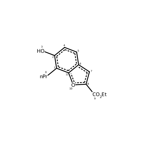 CCCc1c(O)ccc2cc(C(=O)OCC)oc12